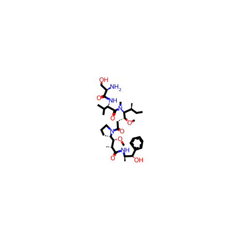 CC[C@H](C)[C@@H]([C@@H](CC(=O)N1CCC[C@H]1[C@H](OC)[C@@H](C)C(=O)N[C@H](C)[C@@H](O)c1ccccc1)OC)N(C)C(=O)[C@@H](NC(=O)[C@H](N)CO)C(C)C